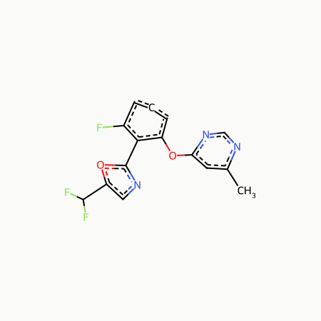 Cc1cc(Oc2cccc(F)c2-c2ncc(C(F)F)o2)ncn1